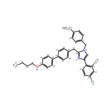 O=C(O)c1ccc(Cn2cc(-c3ccc(Cl)cc3Cl)nc2Cc2ccc(-c3ccc(OCCCC(F)(F)F)cc3)cc2)cc1